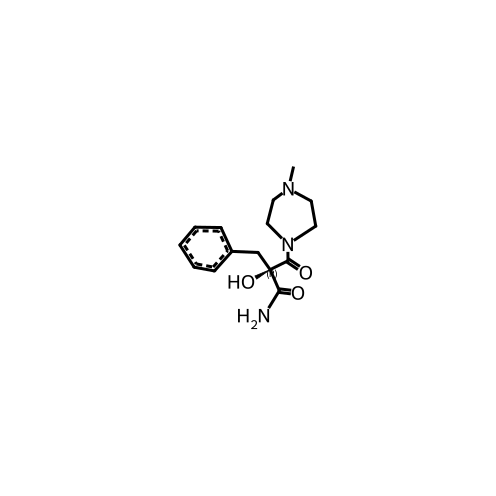 CN1CCN(C(=O)[C@@](O)(Cc2ccccc2)C(N)=O)CC1